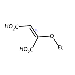 CCO/C(=C/C(=O)O)C(=O)O